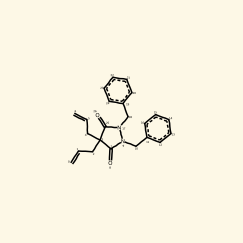 C=CCC1(CC=C)C(=O)N(Cc2ccccc2)N(Cc2ccccc2)C1=O